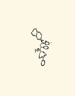 COc1ccc(NC(=O)C[S+]([O-])c2ccc3ccccc3c2)cc1